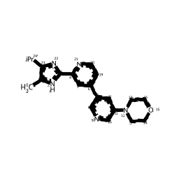 Cc1[nH]c(-c2cc(-c3cncc(N4CCOCC4)c3)ccn2)nc1C(C)C